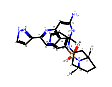 CC1(NC2C[C@H]3CC[C@@H](C2)N3S(=O)(=O)c2cccnc2)NC(N)=Cc2nc(-c3cc[nH]n3)ccc21